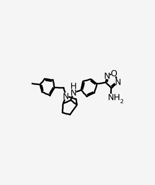 Cc1ccc(CN2CC3CCC2C3Nc2ccc(-c3nonc3N)cc2)cc1